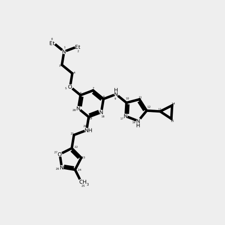 CCN(CC)CCOc1cc(Nc2cc(C3CC3)[nH]n2)nc(NCc2cc(C)no2)n1